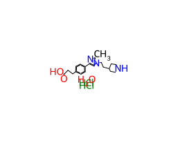 Cc1nc(-c2ccc(CCC(=O)O)cc2)cn1CCC1CCNCC1.Cl.Cl.O